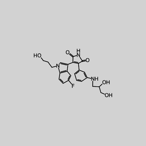 O=C1NC(=O)C(c2cn(CCCO)c3ccc(F)cc23)=C1c1cccc(NCC(O)CO)c1